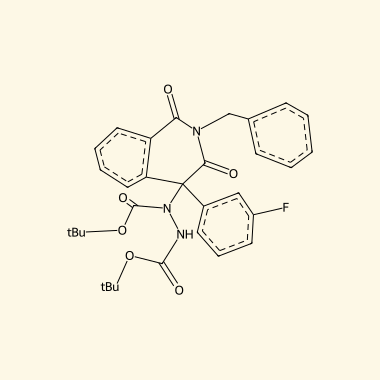 CC(C)(C)OC(=O)NN(C(=O)OC(C)(C)C)C1(c2cccc(F)c2)C(=O)N(Cc2ccccc2)C(=O)c2ccccc21